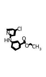 CCOC(=O)c1cccc(Nc2cc(Cl)ccn2)c1